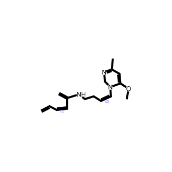 C=C/C=C\C(=C)NCC/C=C\N1CN=C(C)C=C1OC